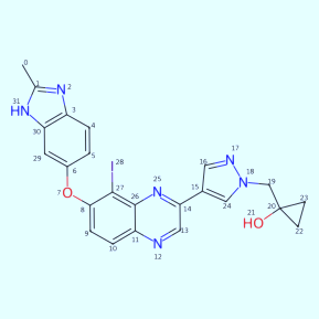 Cc1nc2ccc(Oc3ccc4ncc(-c5cnn(CC6(O)CC6)c5)nc4c3I)cc2[nH]1